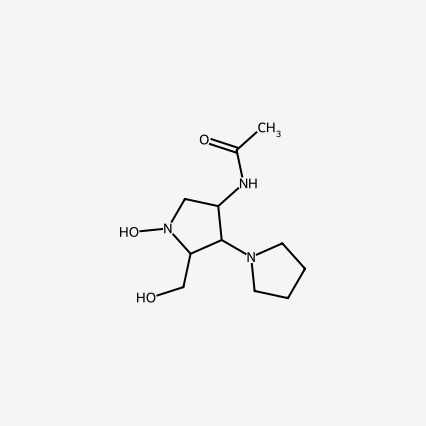 CC(=O)NC1CN(O)C(CO)C1N1CCCC1